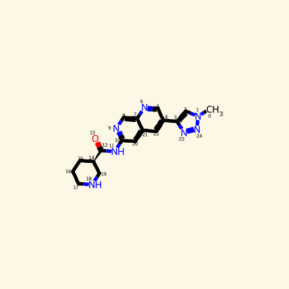 Cn1cc(-c2cnc3cnc(NC(=O)[C@@H]4CCCNC4)cc3c2)nn1